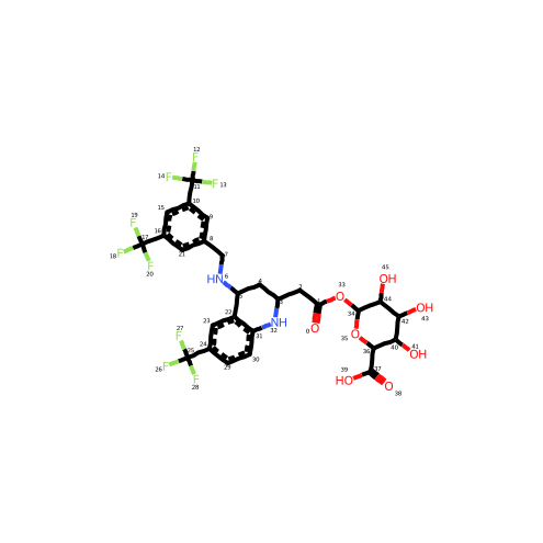 O=C(CC1CC(NCc2cc(C(F)(F)F)cc(C(F)(F)F)c2)c2cc(C(F)(F)F)ccc2N1)OC1OC(C(=O)O)C(O)C(O)C1O